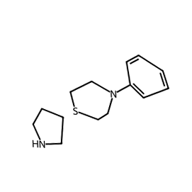 C1CCNC1.c1ccc(N2CCSCC2)cc1